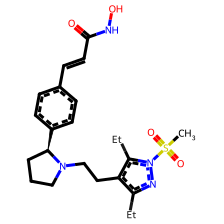 CCc1nn(S(C)(=O)=O)c(CC)c1CCN1CCC[C@H]1c1ccc(C=CC(=O)NO)cc1